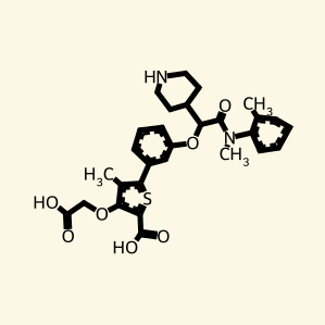 Cc1ccccc1N(C)C(=O)C(Oc1cccc(-c2sc(C(=O)O)c(OCC(=O)O)c2C)c1)C1CCNCC1